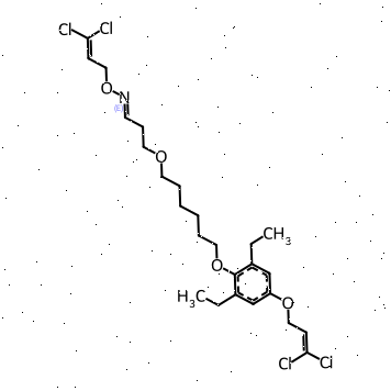 CCc1cc(OCC=C(Cl)Cl)cc(CC)c1OCCCCCCOCC/C=N/OCC=C(Cl)Cl